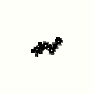 O=C1CCC(N2Cc3cc(O[C@@H]4CCCC[C@H]4N4CC(c5cccnn5)C4)ccc3C2=O)C(=O)N1